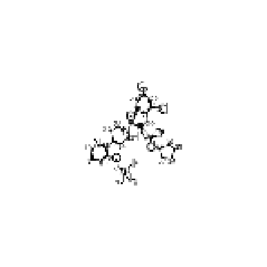 CN(C)[C@H](I)COc1cccnc1C1CCN(C(=O)[C@@H](Cc2ccc(Cl)cc2Cl)NC(=O)OC2CCCC2)CC1